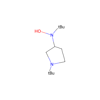 CC(C)(C)N1CCC(N(O)C(C)(C)C)C1